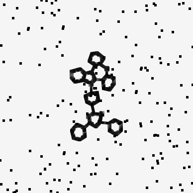 c1ccc(-c2cc(-c3ccccc3)nc(-c3ccc(-n4c5c(c6ccccc64)-c4ccccc4Oc4ccccc4-5)cc3)n2)cc1